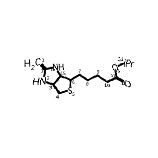 C=C1NC2CSC(CCCCC(=O)OC(C)C)C2N1